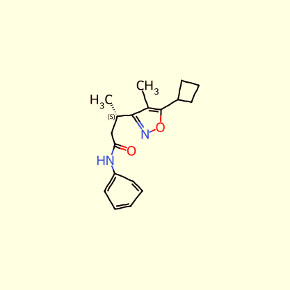 Cc1c([C@@H](C)CC(=O)Nc2ccccc2)noc1C1CCC1